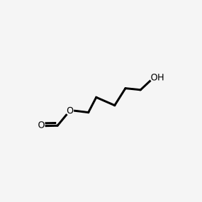 O=COCCCCCO